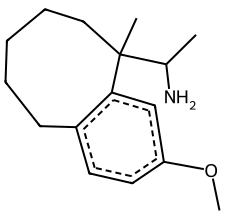 COc1ccc2c(c1)C(C)(C(C)N)CCCCC2